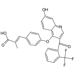 C/C(=C\c1ccc(Oc2c(C(=O)c3ccccc3C(F)(F)F)cnc3cc(O)ccc23)cc1)C(=O)O